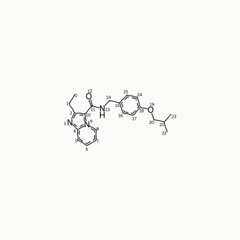 CCc1nc2ccccn2c1C(=O)NCc1ccc(OCC(C)C)cc1